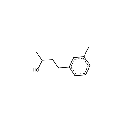 Cc1cccc([CH]CC(C)O)c1